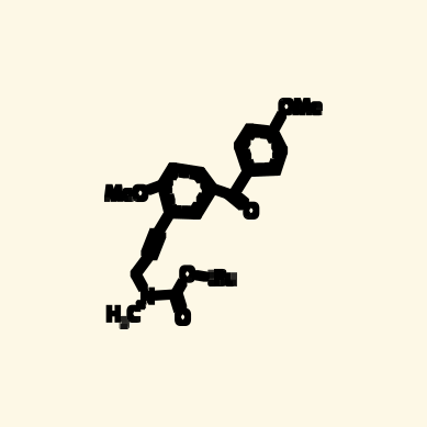 COc1ccc(C(=O)c2ccc(OC)c(C#CCN(C)C(=O)OC(C)(C)C)c2)cc1